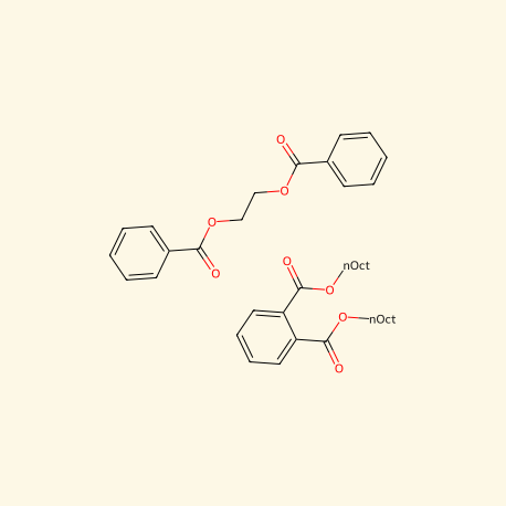 CCCCCCCCOC(=O)c1ccccc1C(=O)OCCCCCCCC.O=C(OCCOC(=O)c1ccccc1)c1ccccc1